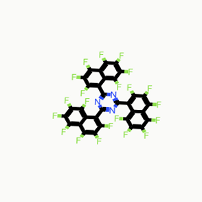 Fc1c(F)c(F)c2c(-c3nc(-c4c(F)c(F)c(F)c5c(F)c(F)c(F)c(F)c45)nc(-c4c(F)c(F)c(F)c5c(F)c(F)c(F)c(F)c45)n3)c(F)c(F)c(F)c2c1F